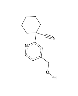 [3H]OCc1ccnc(C2(C#N)CCCCC2)c1